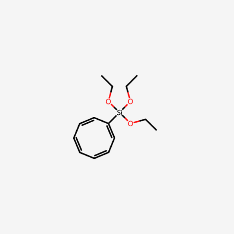 CCO[Si](OCC)(OCC)C1=C/C=C\C=C/C=C\1